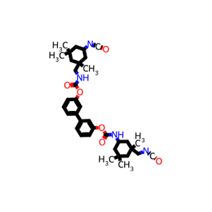 CC1(C)CC(N=C=O)CC(C)(CNC(=O)Oc2cccc(-c3cccc(OC(=O)NC4CC(C)(C)CC(C)(CN=C=O)C4)c3)c2)C1